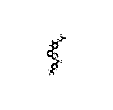 CC(=O)COc1ccc(C2CCCC3CN(C(=O)c4ccc(C(F)(F)F)nc4)CCN32)c(C)c1C